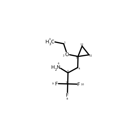 CCOC1(CC(N)C(F)(F)F)CC1